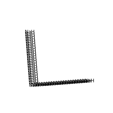 [NaH].[NaH].[NaH].[NaH].[NaH].[NaH].[NaH].[NaH].[NaH].[NaH].[NaH].[NaH].[NaH].[NaH].[NaH].[NaH].[NaH].[NaH].[NaH].[NaH].[NaH].[NaH].[NaH].[NaH].[NaH].[NaH].[NaH].[NaH].[NaH].[NaH].[NaH].[NaH].[NaH].[NaH].[NaH].[NaH].[NaH].[NaH].[NaH].[NaH].[NaH].[NaH].[NaH].[NaH].[NaH].[NaH]